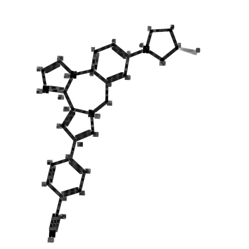 C[C@H]1CCN(c2ccc3c(c2)Cn2cc(-c4ccc(C#N)cc4)cc2-c2nccn2-3)C1